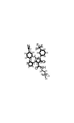 Cn1c(-c2ccnn2-c2ccc(C#N)cc2)c(C(=O)NCC[N+](C)(C)C)c(=O)n1-c1cccc(C(F)(F)F)c1